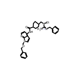 CCN(CC1CCC(C(=O)Nc2ccnc3c2ccn3COCc2ccccc2)CC1)/C(N)=N\Cc1ccccc1